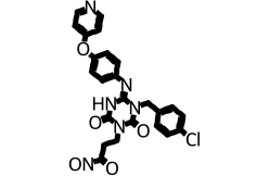 O=NC(=O)CCn1c(=O)[nH]/c(=N\c2ccc(Oc3ccncc3)cc2)n(Cc2ccc(Cl)cc2)c1=O